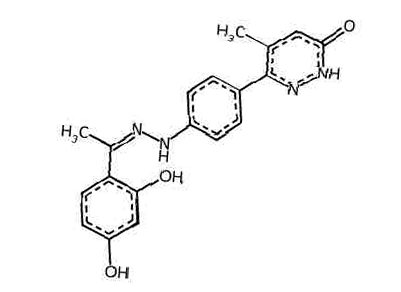 CC(=NNc1ccc(-c2n[nH]c(=O)cc2C)cc1)c1ccc(O)cc1O